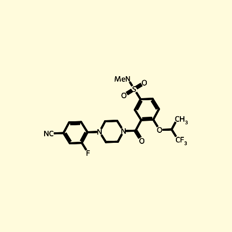 CNS(=O)(=O)c1ccc(OC(C)C(F)(F)F)c(C(=O)N2CCN(c3ccc(C#N)cc3F)CC2)c1